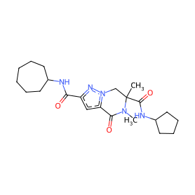 CN1C(=O)c2cc(C(=O)NC3CCCCCC3)nn2CC1(C)C(=O)NC1CCCC1